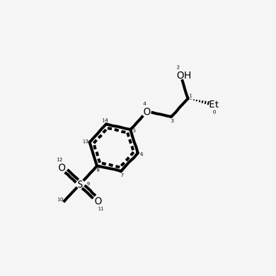 CC[C@@H](O)COc1ccc(S(C)(=O)=O)cc1